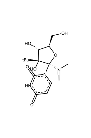 C[SiH](C)[C@@]1(n2ccc(=O)[nH]c2=O)O[C@H](CO)[C@@H](O)[C@]1(O)C(C)(C)C